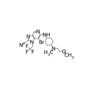 COCCN(C)C1CCC(Nc2ncc3nc(C#N)n(CC(F)(F)F)c3c2Br)CC1